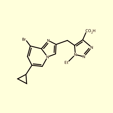 CCn1nnc(C(=O)O)c1Cc1cn2cc(C3CC3)cc(Br)c2n1